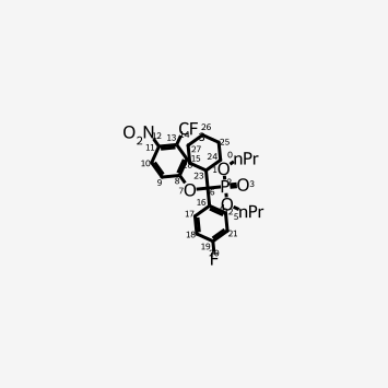 CCCOP(=O)(OCCC)C(Oc1ccc([N+](=O)[O-])c(C(F)(F)F)c1)(c1ccc(F)cc1)C1CCCCC1